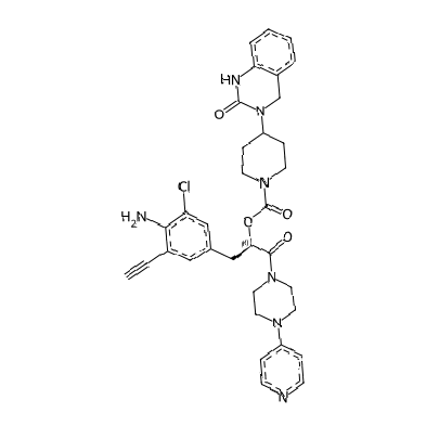 C#Cc1cc(C[C@@H](OC(=O)N2CCC(N3Cc4ccccc4NC3=O)CC2)C(=O)N2CCN(c3ccncc3)CC2)cc(Cl)c1N